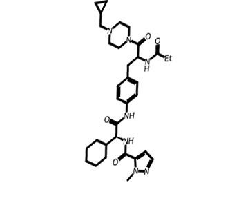 CCC(=O)NC(Cc1ccc(NC(=O)[C@@H](NC(=O)c2ccnn2C)C2CCCCC2)cc1)C(=O)N1CCN(CC2CC2)CC1